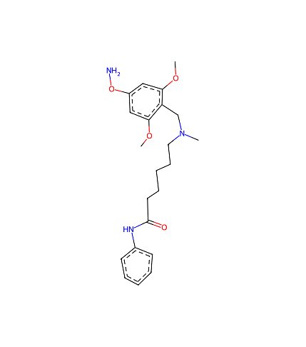 COc1cc(ON)cc(OC)c1CN(C)CCCCCC(=O)Nc1ccccc1